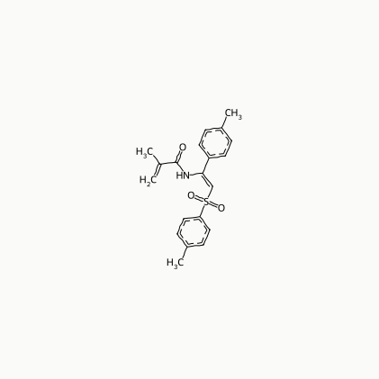 C=C(C)C(=O)N/C(=C\S(=O)(=O)c1ccc(C)cc1)c1ccc(C)cc1